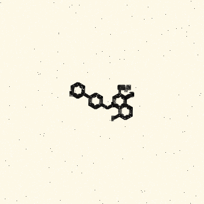 O=C(O)c1cn(Cc2ccc(-c3cccnc3)cc2)c2c(F)cccc2c1=O